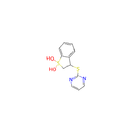 OS1(O)CC(Sc2ncccn2)c2ccccc21